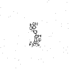 CC(C)(C)OC(=O)N1CCC[C@H]1c1ncc(-c2ccc(-c3ccc(O)c4c3[C@@H]3CC[C@H]4C3)cc2)[nH]1